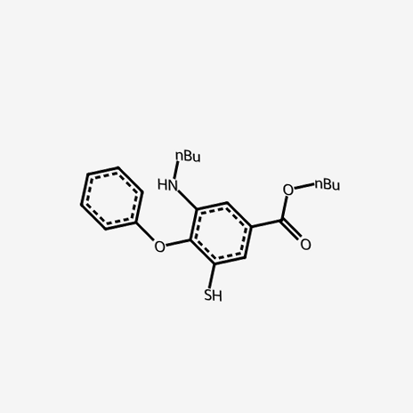 CCCCNc1cc(C(=O)OCCCC)cc(S)c1Oc1ccccc1